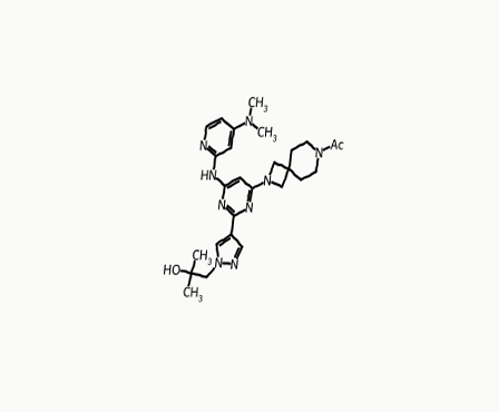 CC(=O)N1CCC2(CC1)CN(c1cc(Nc3cc(N(C)C)ccn3)nc(-c3cnn(CC(C)(C)O)c3)n1)C2